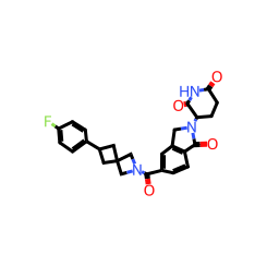 O=C1CCC(N2Cc3cc(C(=O)N4CC5(CC(c6ccc(F)cc6)C5)C4)ccc3C2=O)C(=O)N1